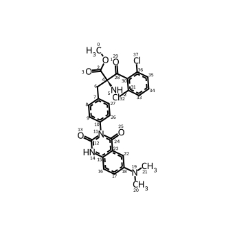 COC(=O)[C@@](N)(Cc1ccc(-n2c(=O)[nH]c3ccc(N(C)C)cc3c2=O)cc1)C(=O)c1c(Cl)cccc1Cl